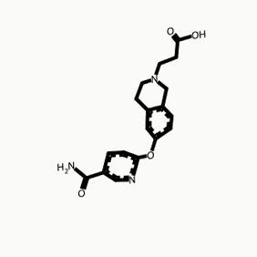 NC(=O)c1ccc(Oc2ccc3c(c2)CCN(CCC(=O)O)C3)nc1